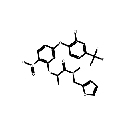 CC(Oc1cc(Oc2ccc(C(F)(F)F)cc2Cl)ccc1[N+](=O)[O-])C(=O)N(C)Cc1ccco1